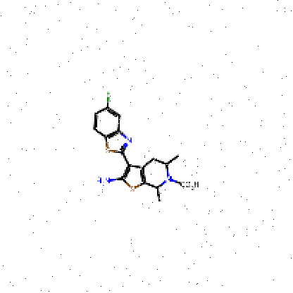 CC1Cc2c(sc(N)c2-c2nc3cc(F)ccc3s2)C(C)N1C(=O)O